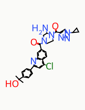 CC(C)(O)c1ccc(-c2cc(Cl)c3ccc(C(=O)N4CCN(C(=O)c5cn(C6CC6)nn5)[C@H](N)C4)cc3n2)cc1